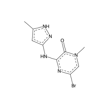 Cc1cc(Nc2nc(Br)cn(C)c2=O)n[nH]1